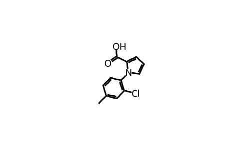 Cc1ccc(-n2cccc2C(=O)O)c(Cl)c1